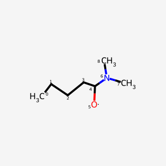 CCCCC([O])N(C)C